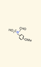 COc1ccc(CN(CC=O)C(=O)O)cc1